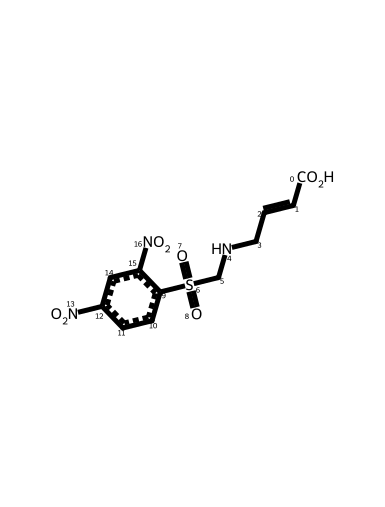 O=C(O)C=CCNCS(=O)(=O)c1ccc([N+](=O)[O-])cc1[N+](=O)[O-]